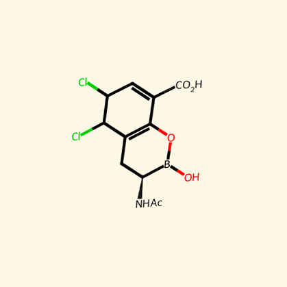 CC(=O)N[C@H]1CC2=C(OB1O)C(C(=O)O)=CC(Cl)C2Cl